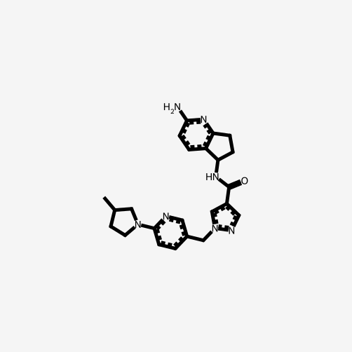 CC1CCN(c2ccc(Cn3cc(C(=O)NC4CCc5nc(N)ccc54)cn3)cn2)C1